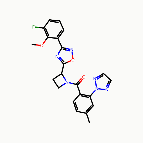 COc1c(F)cccc1-c1noc(C2CCN2C(=O)c2ccc(C)cc2-n2nccn2)n1